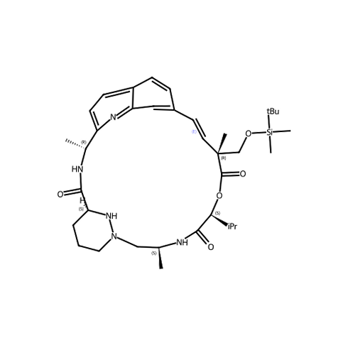 CC(C)[C@@H]1OC(=O)[C@@](C)(CO[Si](C)(C)C(C)(C)C)/C=C/c2ccc3ccc(nc3c2)[C@@H](C)NC(=O)[C@@H]2CCCN(C[C@H](C)NC1=O)N2